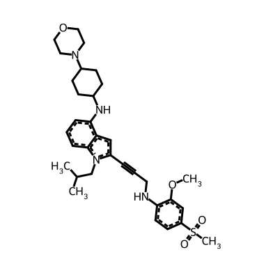 COc1cc(S(C)(=O)=O)ccc1NCC#Cc1cc2c(NC3CCC(N4CCOCC4)CC3)cccc2n1CC(C)C